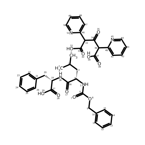 CC(C)C[C@H](NC(=O)OCc1ccccc1)C(=O)N[C@@H](Cc1ccccc1)C(=O)O.O=C(O)C(C(=O)C(C(=O)O)c1ccccn1)c1ccccn1